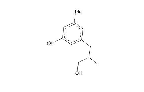 CC(CO)Cc1cc(C(C)(C)C)cc(C(C)(C)C)c1